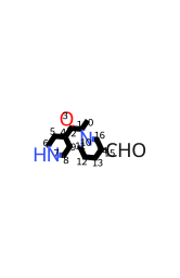 CC(C(=O)C1CCNCC1)N1CCC[C@@H](C=O)C1